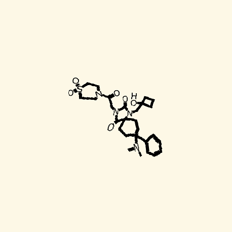 CN(C)C1(c2ccccc2)CCC2(CC1)C(=O)N(CC(=O)N1CCS(=O)(=O)CC1)C(=O)N2CC1(O)CCC1